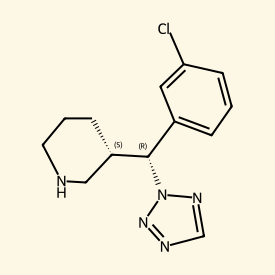 Clc1cccc([C@@H]([C@H]2CCCNC2)n2ncnn2)c1